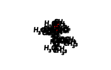 CC(C)(C)c1ccc2c(c1)c1cc(C(C)(C)C)ccc1n2-c1cc(-c2nc(-c3ccccc3)nc(-c3ccccc3)n2)c(-n2c3ccc(C(C)(C)C)cc3c3cc(C(C)(C)C)ccc32)cc1C#N